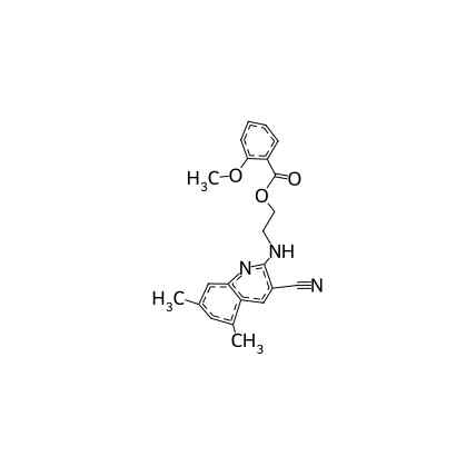 COc1ccccc1C(=O)OCCNc1nc2cc(C)cc(C)c2cc1C#N